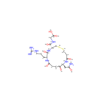 N=C(N)NCCC[C@@H]1NC(=O)CCC(=O)[C@H](CC(N)=O)NC(=O)CCSSC[C@@H](C(=O)NCC(=O)O)NC1=O